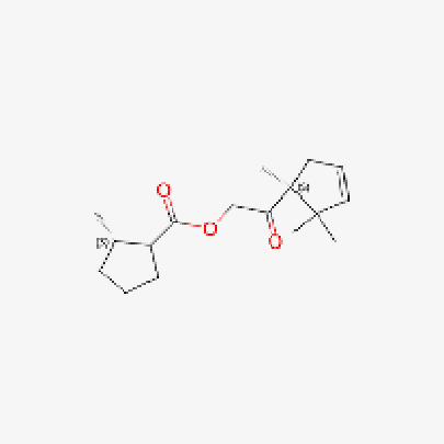 C[C@H]1CCCC1C(=O)OCC(=O)[C@@]1(C)CC=CC1(C)C